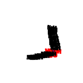 O=P(O)(O)O.[NaH].[NaH].[NaH].[NaH].[NaH].[NaH].[NaH].[NaH].[NaH].[NaH].[NaH].[NaH].[NaH].[NaH].[NaH].[NaH].[NaH].[NaH].[NaH].[NaH]